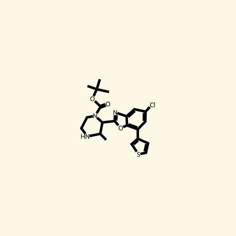 CC1NCCN(C(=O)OC(C)(C)C)C1c1nc2cc(Cl)cc(-c3ccsc3)c2o1